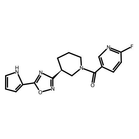 O=C(c1ccc(F)nc1)N1CCC[C@H](c2noc(-c3ccc[nH]3)n2)C1